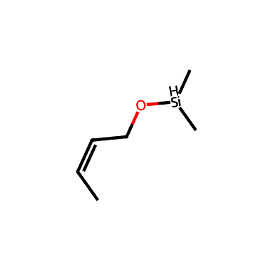 C/C=C\CO[SiH](C)C